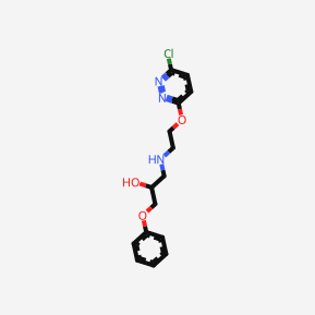 OC(CNCCOc1ccc(Cl)nn1)COc1ccccc1